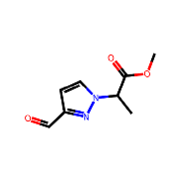 COC(=O)C(C)n1ccc(C=O)n1